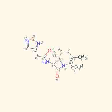 CC1=C(C(=O)O)N2C(=O)C(NC(=O)Cc3cnsn3)[C@H]2SC1